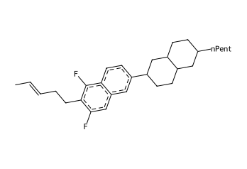 CC=CCCc1c(F)cc2cc(C3CCC4CC(CCCCC)CCC4C3)ccc2c1F